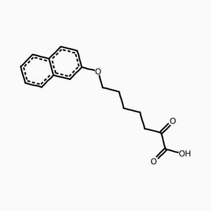 O=C(O)C(=O)CCCCCOc1ccc2ccccc2c1